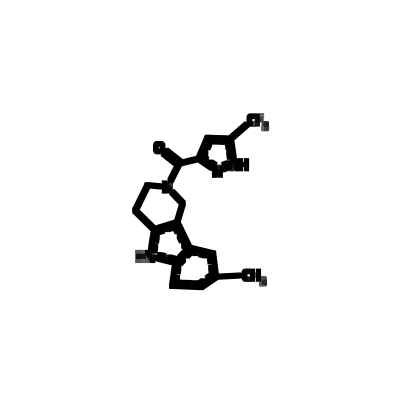 Cc1ccc2[nH]c3c(c2c1)CN(C(=O)c1cc(C(F)(F)F)[nH]n1)CC3